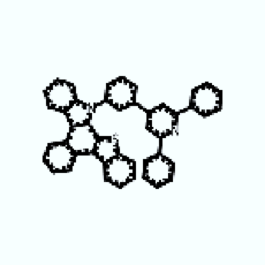 c1ccc(-c2cc(-c3cccc(-n4c5ccccc5c5c6ccccc6c6c7ccccc7sc6c54)c3)cc(-c3ccccc3)n2)cc1